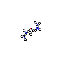 CC(C)(C)C1(C(C)(C)C)c2cc3cc(N(c4ccccc4)c4ccc5c(c4)c4ccccc4n5-c4ccccc4)ccc3cc2-c2c1c1ccc(N(c3ccccc3)c3ccc4c(c3)c3ccccc3n4-c3ccccc3)cc1c1ccccc21